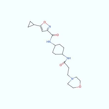 O=C(CCN1CCOCC1)NC1CCC(NC(=O)c2cc(C3CC3)on2)CC1